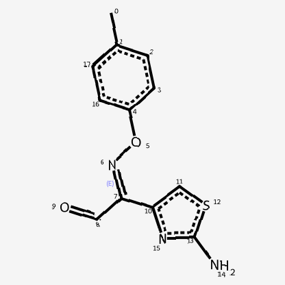 Cc1ccc(O/N=C(/[C]=O)c2csc(N)n2)cc1